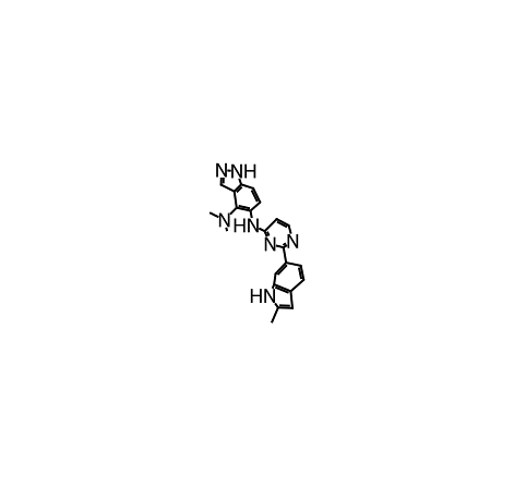 Cc1cc2ccc(-c3nccc(Nc4ccc5[nH]ncc5c4N(C)C)n3)cc2[nH]1